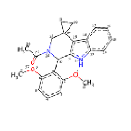 COc1cccc(OC)c1C1c2[nH]c3ccccc3c2C2(CC2)CN1C(C)=O